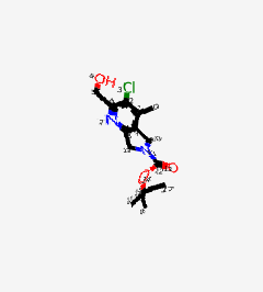 Cc1c(Cl)c(CO)nc2c1CN(C(=O)OC(C)(C)C)C2